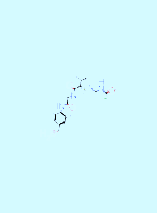 BCc1ccc(NC(=O)CNC(=O)C(SNCNC(=O)F)C(C)C)cc1